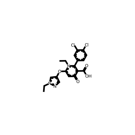 CCn1cc(Oc2cc(=O)c(C(=O)O)c(-c3ccc(Cl)c(Cl)c3)n2CC)cn1